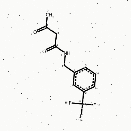 CC(=O)CC(=O)NCc1cccc(C(F)(F)F)c1